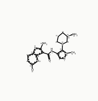 Cn1ncc(NC(=O)c2c(N)sc3ccc(Cl)nc23)c1N1CCC[C@@H](N)C1